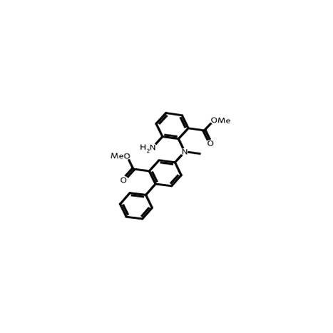 COC(=O)c1cc(N(C)c2c(N)cccc2C(=O)OC)ccc1-c1ccccc1